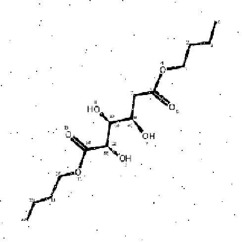 CCCCOC(=O)C[C@@H](O)[C@H](O)[C@@H](O)C(=O)OCCCC